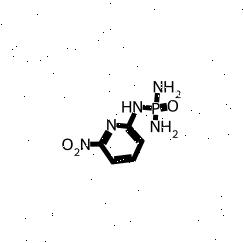 NP(N)(=O)Nc1cccc([N+](=O)[O-])n1